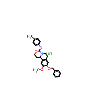 COc1cc2c(cc1OCc1ccccc1)CCN1/C(=N/c3ccc(C)cc3)OCCC21.Cl